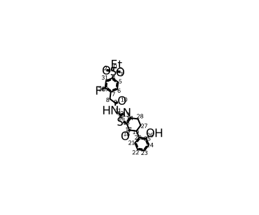 CCS(=O)(=O)c1ccc(CC(=O)Nc2nc3c(s2)C(=O)C(c2ccccc2O)CC3)c(F)c1